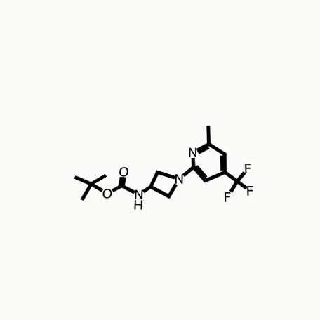 Cc1cc(C(F)(F)F)cc(N2CC(NC(=O)OC(C)(C)C)C2)n1